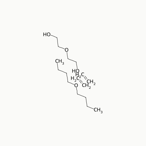 C=C.C=C.CCCCOCCCC.OCCOCCO